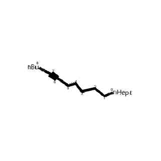 C[CH]CCCCCCCCCCC#CCCCC